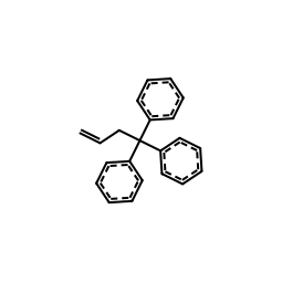 C=CCC(c1ccccc1)(c1ccccc1)c1ccccc1